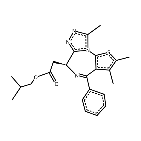 Cc1sc2c(c1C)C(c1ccccc1)=N[C@@H](CC(=O)OCC(C)C)c1nnc(C)n1-2